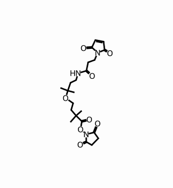 CC(C)(CCNC(=O)CCN1C(=O)C=CC1=O)OCCC(C)(C)C(=O)ON1C(=O)CCC1=O